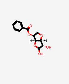 O=C(O[C@H]1CO[C@@H]2[C@H]1OC(O)[C@H]2O)c1ccccc1